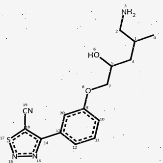 CC(CN)CC(O)COc1cccc(-c2nnsc2C#N)c1